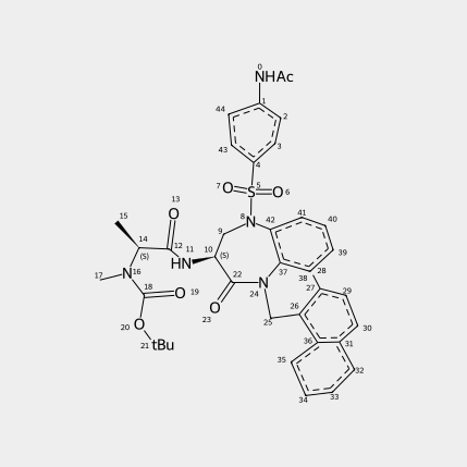 CC(=O)Nc1ccc(S(=O)(=O)N2C[C@H](NC(=O)[C@H](C)N(C)C(=O)OC(C)(C)C)C(=O)N(Cc3c(C)ccc4ccccc34)c3ccccc32)cc1